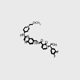 COCCN1CCC(Nc2cnc3ccc(CNC(=O)c4cccn([C@@H](CO)c5ccc(F)c(F)c5)c4=O)cc3n2)CC1